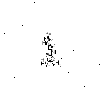 CC(C)(C)OC(=O)N[C@H]1C[C@H](NCC(F)(F)F)C1